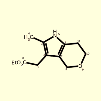 CCOC(=O)Cc1c(C)[nH]c2c1COCC2